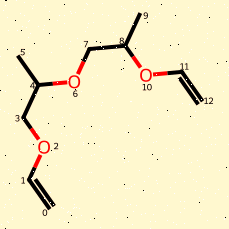 C=COCC(C)OCC(C)OC=C